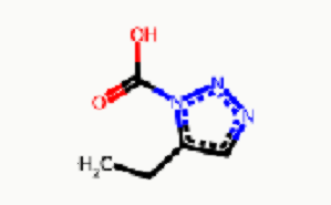 [CH2]Cc1cnnn1C(=O)O